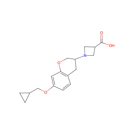 O=C(O)C1CN(C2COc3cc(OCC4CC4)ccc3C2)C1